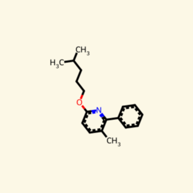 Cc1ccc(OCCCC(C)C)nc1-c1ccccc1